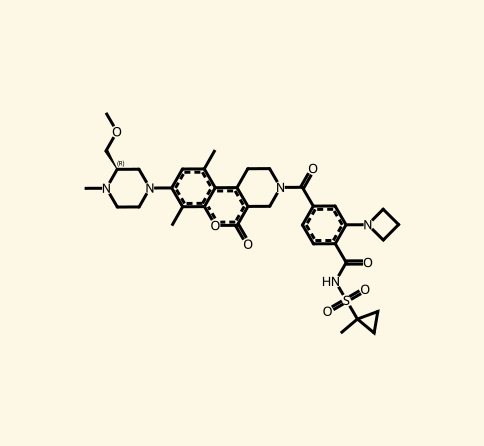 COC[C@H]1CN(c2cc(C)c3c4c(c(=O)oc3c2C)CN(C(=O)c2ccc(C(=O)NS(=O)(=O)C3(C)CC3)c(N3CCC3)c2)CC4)CCN1C